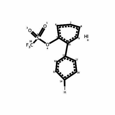 I.O=S(=O)(Oc1ccccc1-c1ccc(I)cc1)C(F)(F)F